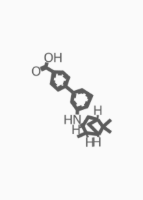 C[C@@H]1[C@@H](Nc2cccc(-c3ccc(C(=O)O)cc3)c2)C[C@H]2C[C@@H]1C2(C)C